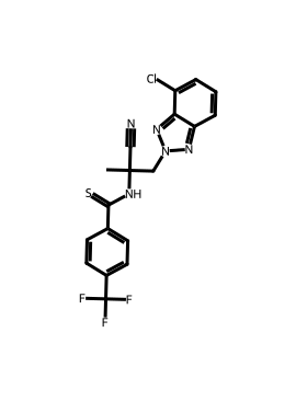 CC(C#N)(Cn1nc2cccc(Cl)c2n1)NC(=S)c1ccc(C(F)(F)F)cc1